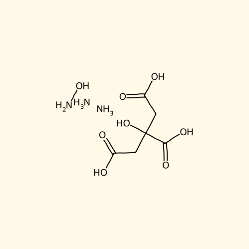 N.N.NO.O=C(O)CC(O)(CC(=O)O)C(=O)O